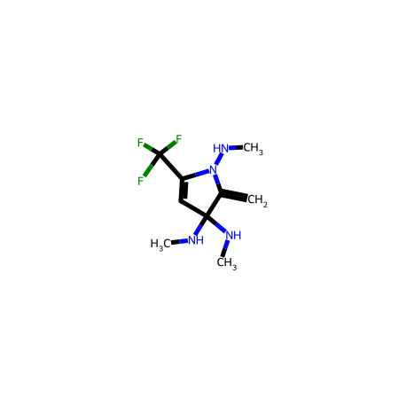 C=C1N(NC)C(C(F)(F)F)=CC1(NC)NC